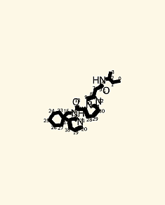 CCC(C)NC(=O)Cc1cn2c(C(=O)NCC3(c4cccnc4)CCCCC3)cccc2n1